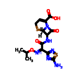 CC(C)O/N=C(\C(=O)NC1C(=O)N2C(C(=O)O)=CCS[C@H]12)c1nsc(N)n1